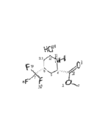 COC(=O)[C@@H]1C[C@H](C(F)(F)F)CCN1.Cl